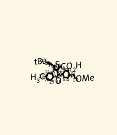 COCCN1CCC(N(c2cc(C#CC(C)(C)C)sc2C(=O)O)C(=O)[C@H]2CC[C@H](C)CC2)CC1